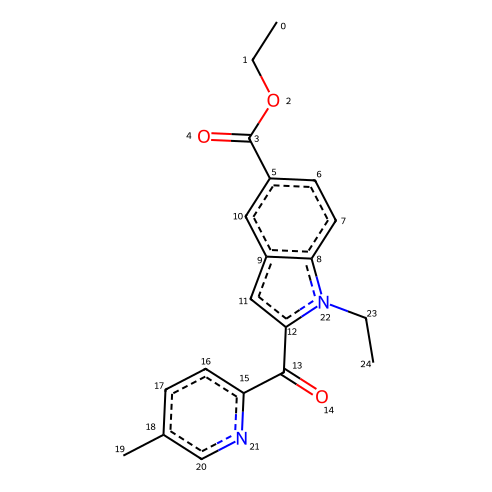 CCOC(=O)c1ccc2c(c1)cc(C(=O)c1ccc(C)cn1)n2CC